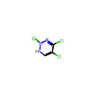 ClC1=CNN(Cl)N=C1Cl